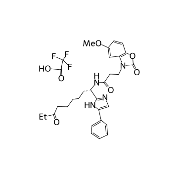 CCC(=O)CCCCC[C@H](NC(=O)CCn1c(=O)oc2ccc(OC)cc21)c1ncc(-c2ccccc2)[nH]1.O=C(O)C(F)(F)F